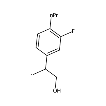 [CH2]C(CO)c1ccc(CCC)c(F)c1